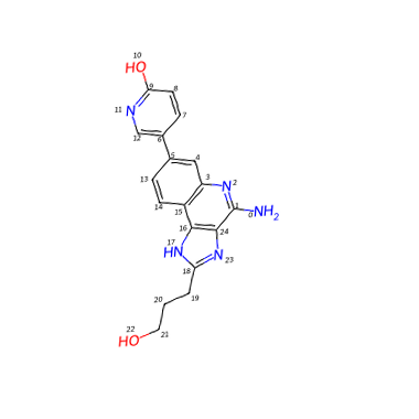 Nc1nc2cc(-c3ccc(O)nc3)ccc2c2[nH]c(CCCO)nc12